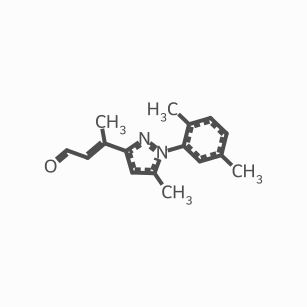 CC(=CC=O)c1cc(C)n(-c2cc(C)ccc2C)n1